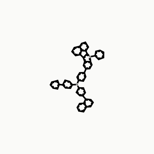 c1ccc(-c2ccc(N(c3ccc(-c4ccc5c(c4)c4c(n5-c5ccccc5)-c5cccc6cccc-4c56)cc3)c3ccc(-c4cccc5ccccc45)cc3)cc2)cc1